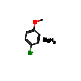 COc1ccc(Br)cc1.[MgH2]